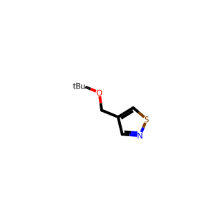 CC(C)(C)OCc1cnsc1